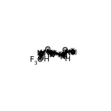 O=C(NCc1cncc(OC(F)(F)F)c1)c1cn(CCCCn2cc(C(=O)NCC3CCCC3)nn2)nn1